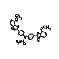 COc1cccc2[nH]c(-c3ccc(N(C(N)=O)c4ccc(-c5nc6c(OC)cccc6[nH]5)cc4)cc3)nc12